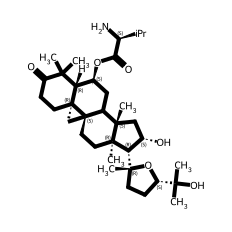 CC(C)[C@H](N)C(=O)O[C@H]1CC2[C@]3(CC[C@]4(C)[C@@H]([C@@]5(C)CC[C@@H](C(C)(C)O)O5)[C@@H](O)C[C@@]24C)C[C@@]32CCC(=O)C(C)(C)[C@H]12